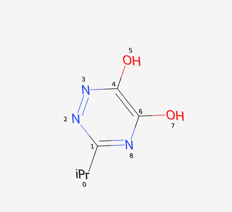 CC(C)c1nnc(O)c(O)n1